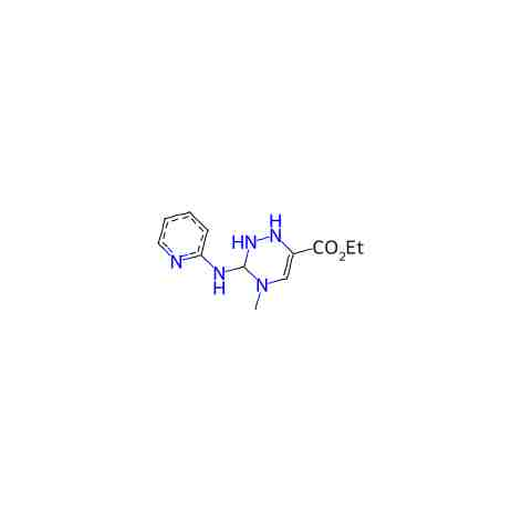 CCOC(=O)C1=CN(C)C(Nc2ccccn2)NN1